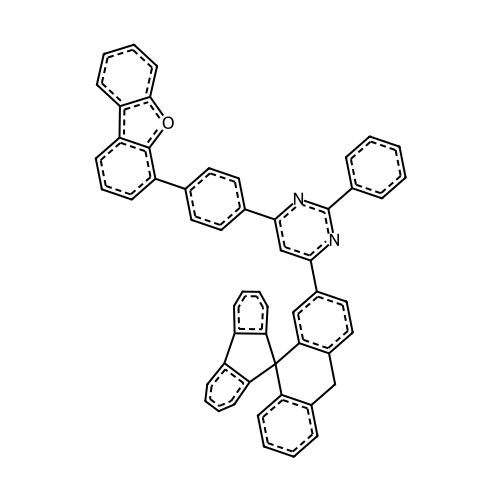 c1ccc(-c2nc(-c3ccc(-c4cccc5c4oc4ccccc45)cc3)cc(-c3ccc4c(c3)C3(c5ccccc5C4)c4ccccc4-c4ccccc43)n2)cc1